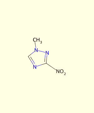 Cn1cnc([N+](=O)[O-])n1